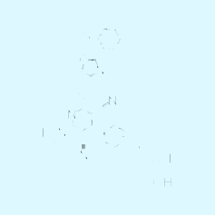 COc1ccccc1-c1nc(CSc2nc(N)c(C#N)c(-c3ccc(OC[C@H](O)CO)cc3)c2C#N)c(C)o1